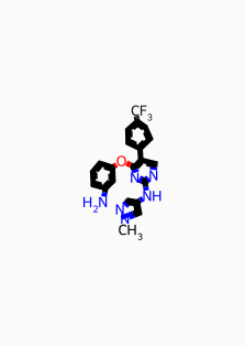 Cn1cc(Nc2ncc(-c3ccc(C(F)(F)F)cc3)c(Oc3cccc(N)c3)n2)cn1